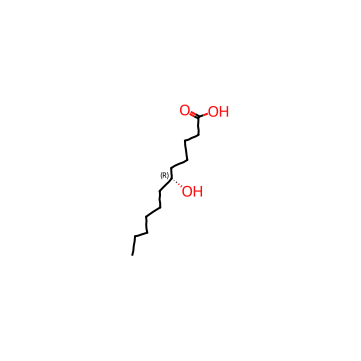 CCCCCC[C@@H](O)CCCCC(=O)O